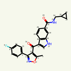 Cc1onc(-c2ccc(F)cc2)c1C(=O)c1c[nH]c2cc(C(=O)NCC3CC3)ccc12